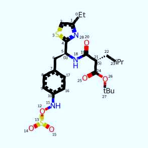 CCc1csc([C@H](Cc2ccc(NO[SH](=O)=O)cc2)NC(=O)[C@H](CC(C)C)C(=O)OC(C)(C)C)n1